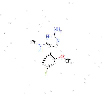 CC(C)Nc1nc(N)ncc1-c1ccc(F)cc1OC(F)(F)F